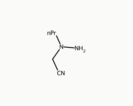 CCCN(N)CC#N